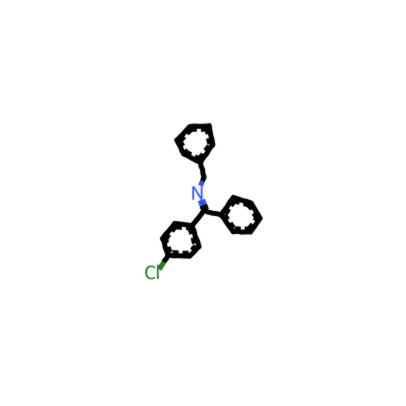 Clc1ccc(C(=NCc2ccccc2)c2ccccc2)cc1